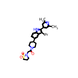 Cc1cc(-c2[nH]c3ccc(C4CCN(C(=O)CN5CCCS5(=O)=O)CC4)cc3c2C(C)C)cc(C)n1